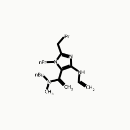 C=CNc1nc(CC(C)C)n(CCC)c1C(=C)N(C)CCCC